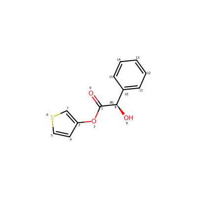 O=C(Oc1ccsc1)[C@H](O)c1ccccc1